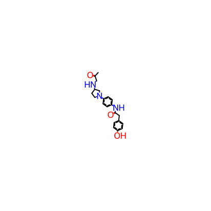 CC(=O)CNC1CCN(c2ccc(NC(=O)Cc3ccc(O)cc3)cc2)C1